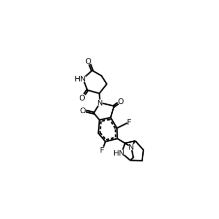 O=C1CCC(N2C(=O)c3cc(F)c(N4CC5CCC4CN5)c(F)c3C2=O)C(=O)N1